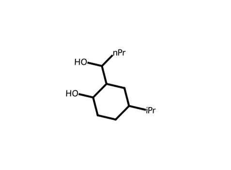 CCCC(O)C1CC(C(C)C)CCC1O